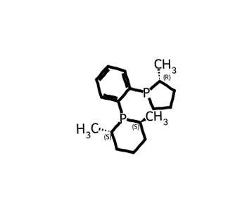 C[C@@H]1CCCP1c1ccccc1P1[C@@H](C)CCC[C@@H]1C